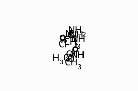 Cc1c(Cl)cccc1C1=CC(NCCc2ccc(NC(=O)OC(C)C)cc2)NC(N)=N1